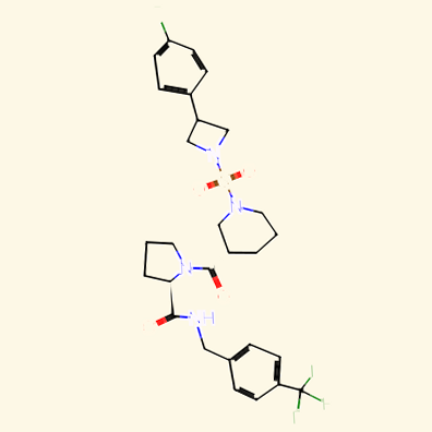 O=C(NCc1ccc(C(F)(F)F)cc1)[C@H]1CCCN1C(=O)[C@H]1CCCN(S(=O)(=O)N2CC(c3ccc(F)cc3)C2)C1